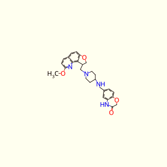 COc1ccc2ccc3c(c2n1)C(CN1CCC(NCc2ccc4c(c2)NC(=O)CO4)CC1)CO3